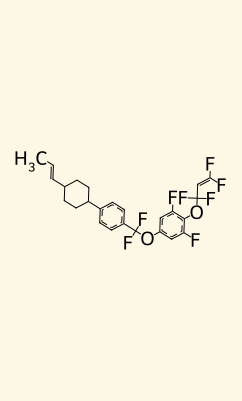 C/C=C/C1CCC(c2ccc(C(F)(F)Oc3cc(F)c(OC(F)(F)C=C(F)F)c(F)c3)cc2)CC1